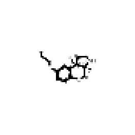 CCCOc1ccc2c(c1)[C@@H]1CCN[C@]1(C)CO2